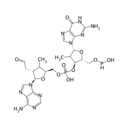 CC1[C@@H](CC=O)[C@H](n2cnc3c(N)ncnc32)O[C@@H]1COP(=O)(O)O[C@H]1C(C)[C@H](n2cnc3c(=O)[nH]c(N)nc32)O[C@@H]1COPO